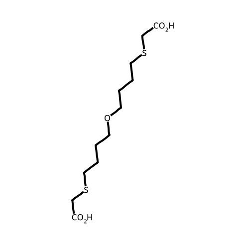 O=C(O)CSCCCCOCCCCSCC(=O)O